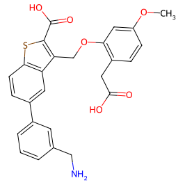 COc1ccc(CC(=O)O)c(OCc2c(C(=O)O)sc3ccc(-c4cccc(CN)c4)cc23)c1